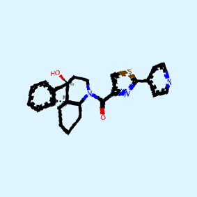 O=C(c1csc(-c2ccncc2)n1)N1CC[C@@](O)(c2ccccc2)[C@@H]2CCCCC21